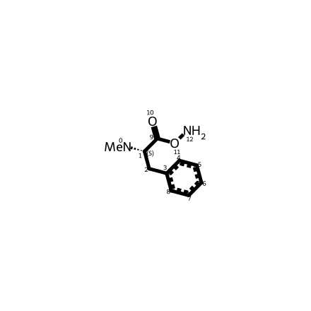 CN[C@@H](Cc1ccccc1)C(=O)ON